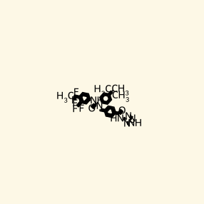 CC(F)(F)c1ccc(NC(=O)N(Cc2ccc(C(=O)Nc3nn[nH]n3)cc2)C2CCC(C(C)(C)C)CC2)cc1C(F)(F)F